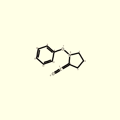 O=C=C1CCCN1Oc1ccccc1